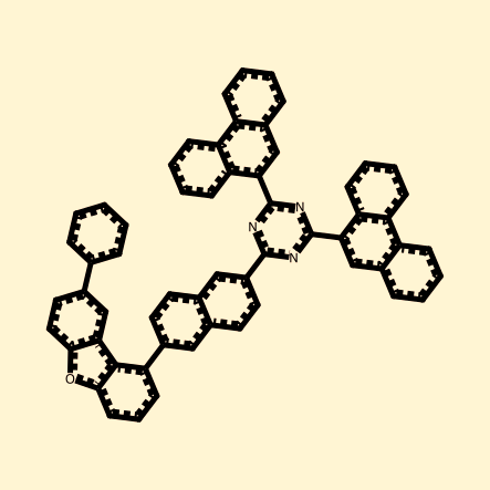 c1ccc(-c2ccc3oc4cccc(-c5ccc6cc(-c7nc(-c8cc9ccccc9c9ccccc89)nc(-c8cc9ccccc9c9ccccc89)n7)ccc6c5)c4c3c2)cc1